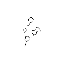 N#Cc1cc(OC2CC(OCc3ccccc3)C2)cc(Nc2ccc3cc[nH]c3c2)n1